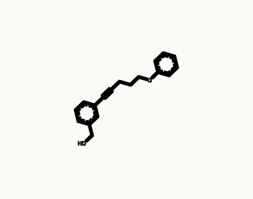 OCc1cccc(C#CCCCOc2ccccc2)c1